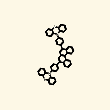 c1ccc2c(c1)Sc1ccccc1N2c1ccc(-c2cc3cc(-c4ccc(N5c6ccccc6Sc6ccccc65)cc4)c4ccccc4c3c3ccccc23)cc1